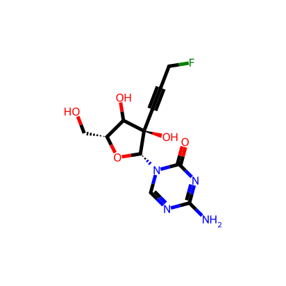 Nc1ncn([C@@H]2O[C@H](CO)C(O)[C@]2(O)C#CCF)c(=O)n1